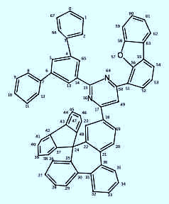 c1ccc(-c2cc(-c3ccccc3)cc(-c3nc(-c4ccc5c(c4)C4(c6ccccc6-c6ccccc6-5)c5ccccc5-c5ccccc54)cc(-c4cccc5c4oc4ccccc45)n3)c2)cc1